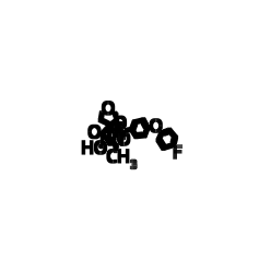 CCCN(C1(C(=O)NO)CCOCC1)S(=O)(=O)c1ccc(Oc2ccc(F)cc2)cc1